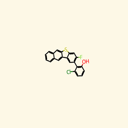 Oc1cccc(Cl)c1-c1cc2c(cc1F)sc1cc3ccccc3cc12